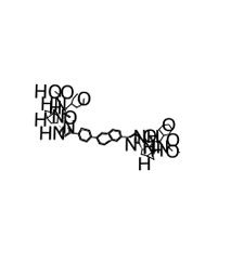 COC(=O)N[C@H](C(=O)N1[C@@H]2C[C@H]2C[C@H]1c1nc(-c2ccc3cc(-c4ccc(-c5c[nH]c([C@@H]6C[C@H]7C[C@H]7N6C(=O)[C@@H](NC(=O)O)C6CCOCC6)n5)cc4)ccc3c2)c[nH]1)C1CCOCC1